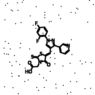 O=C(O)CN1C(=O)C(=Cc2cn(-c3ccc(F)cc3F)nc2-c2cccnc2)SC1=S